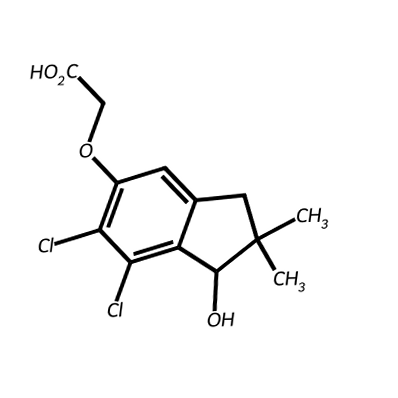 CC1(C)Cc2cc(OCC(=O)O)c(Cl)c(Cl)c2C1O